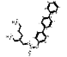 CCCCC(CC)CO[PH](=O)Oc1ccc(-c2ccc(-c3ccccc3)cc2)cc1